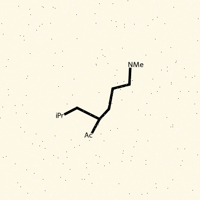 CNCCCC(CC(C)C)C(C)=O